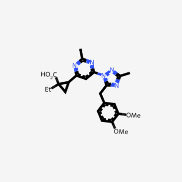 CCC1(C(=O)O)CC1c1cc(-n2nc(C)nc2Cc2ccc(OC)c(OC)c2)nc(C)n1